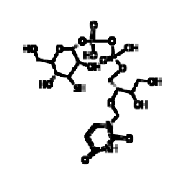 O=c1ccn(CO[C@H](COP(=O)(O)OP(=O)(O)O[C@H]2OC(CO)[C@@H](O)C(S)C2O)C(O)CO)c(=O)[nH]1